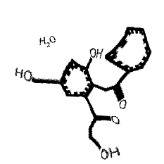 O.O=C(CO)c1cc(O)cc(O)c1C(=O)c1ccccc1